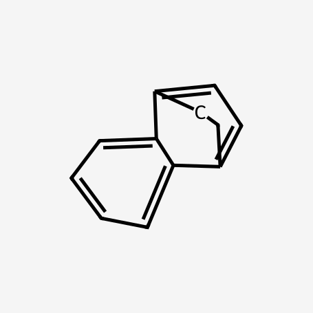 c1ccc2c3ccc(c2c1)CC3